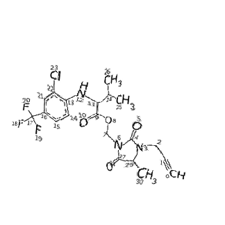 C#CCN1C(=O)N(COC(=O)C(Nc2ccc(C(F)(F)F)cc2Cl)C(C)C)C(=O)C1C